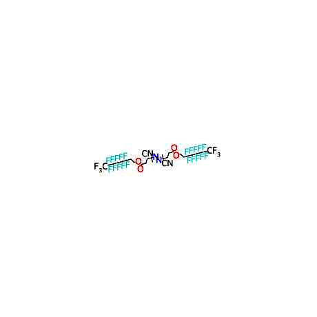 CC(C#N)(CCC(=O)OCCC(F)(F)C(F)(F)C(F)(F)C(F)(F)C(F)(F)C(F)(F)F)N=NC(C)(C#N)CCC(=O)OCCC(F)(F)C(F)(F)C(F)(F)C(F)(F)C(F)(F)C(F)(F)F